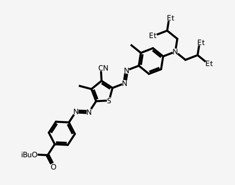 CCC(CC)CN(CC(CC)CC)c1ccc(/N=N/c2sc(N=Nc3ccc(C(=O)OCC(C)C)cc3)c(C)c2C#N)c(C)c1